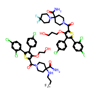 NC(=O)C1(N2CCC(F)(F)CC2)CCN(C(=O)c2sc(-c3ccc(Cl)cc3Cl)c(-c3ccc(Cl)cc3)c2OCCCO)CC1.NC(=O)C1(NCCC(F)(F)F)CCN(C(=O)c2sc(-c3ccc(Cl)cc3Cl)c(-c3ccc(Cl)cc3)c2OCCO)CC1